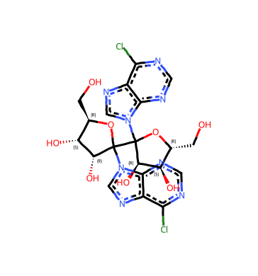 OC[C@H]1OC(n2cnc3c(Cl)ncnc32)(C2(n3cnc4c(Cl)ncnc43)O[C@H](CO)[C@@H](O)[C@H]2O)[C@H](O)[C@@H]1O